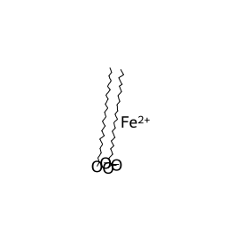 CCCCCCCCCCCCCCCCCCCCCC(=O)[O-].CCCCCCCCCCCCCCCCCCCCCC(=O)[O-].[Fe+2]